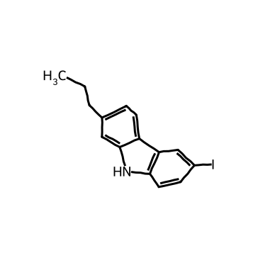 CCCc1ccc2c(c1)[nH]c1ccc(I)cc12